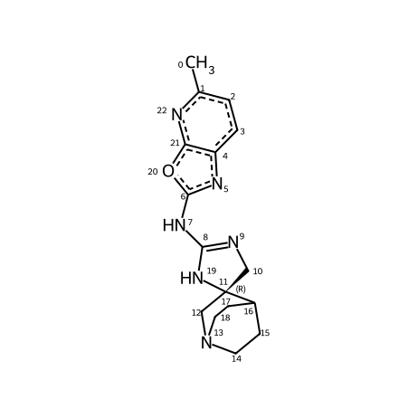 Cc1ccc2nc(NC3=NC[C@@]4(CN5CCC4CC5)N3)oc2n1